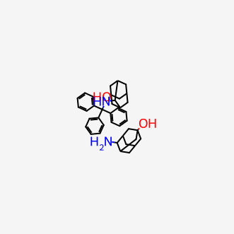 NC1C2CC3CC1CC(O)(C3)C2.OC12CC3CC(C1)C(NC(c1ccccc1)(c1ccccc1)c1ccccc1)C(C3)C2